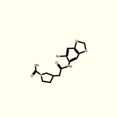 CCCC(=O)N1CCC(CC(=O)Nc2cc3c(cc2C(C)=O)OCO3)C1